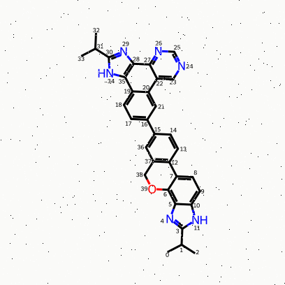 CC(C)c1nc2c3c(ccc2[nH]1)-c1ccc(-c2ccc4c(c2)c2cncnc2c2nc(C(C)C)[nH]c42)cc1CO3